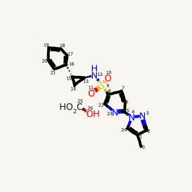 Cc1cnn(-c2ccc(S(=O)(=O)N[C@H]3C[C@@H]3c3ccccc3)cn2)c1.O=C(O)O